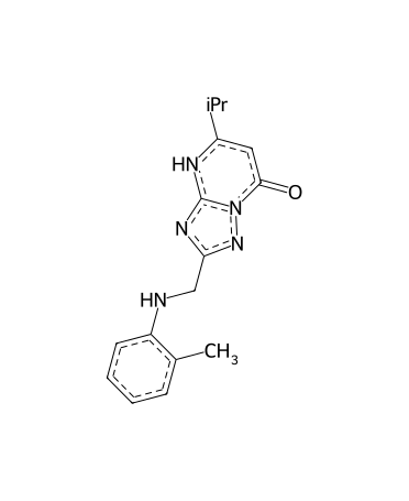 Cc1ccccc1NCc1nc2[nH]c(C(C)C)cc(=O)n2n1